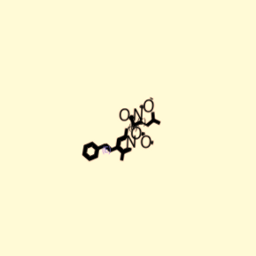 COCO[C@@]1(Cc2cc(/C=C/c3ccccc3)c(C)cn2)C(=O)N(COC)[C@H]1CC(C)C